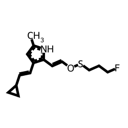 Cc1cc(/C=C/C2CC2)c(/C=C/OSCCCF)[nH]1